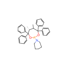 CC1[C@@H](C)C(c2ccccc2)(c2ccccc2)OP(N2CCCCC2)OC1(c1ccccc1)c1ccccc1